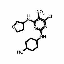 O=[N+]([O-])c1c(Cl)nc(NC2CCC(O)CC2)nc1NC1CCOC1